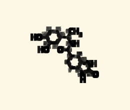 CC(NC(=O)c1ccc2[nH]c(=O)[nH]c2c1)c1ccc(O)c(O)c1